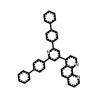 c1ccc(-c2ccc(-c3cc(-c4ccnc5c4ccc4cccnc45)cc(-c4ccc(-c5ccccc5)cc4)n3)cc2)cc1